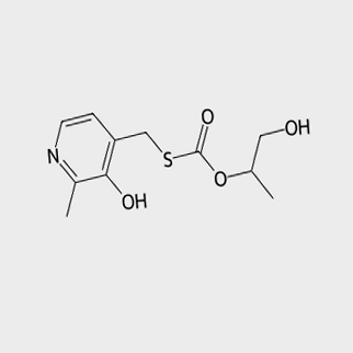 Cc1nccc(CSC(=O)OC(C)CO)c1O